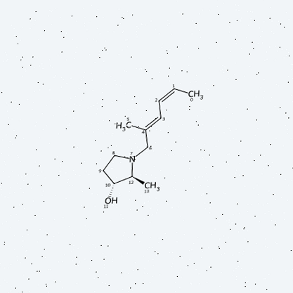 C/C=C\C=C(/C)CN1CC[C@@H](O)[C@@H]1C